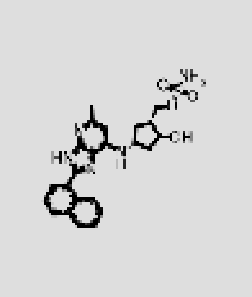 Cc1cc(N[C@@H]2C[C@@H](COS(N)(=O)=O)[C@@H](O)C2)c2nc(-c3cccc4ccccc34)[nH]c2n1